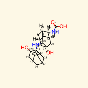 O=C(O)N[C@@H]1[C@@H]2C[C@H]3C[C@@H]1C(NC1C4CC5CC(C4)CC1(O)C5)[C@](O)(C3)C2